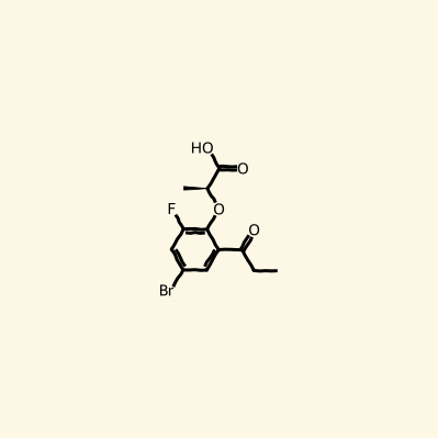 CCC(=O)c1cc(Br)cc(F)c1O[C@@H](C)C(=O)O